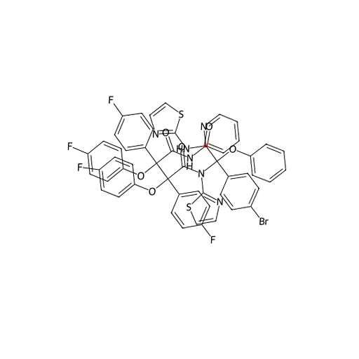 O=C(Nc1nccs1)C(Oc1ccccc1)(c1ccc(Br)cc1)N(C(=O)C(Oc1ccc(F)cc1)(c1ccc(F)cc1)C(Oc1ccc(F)cc1)(C(=O)Nc1ccccn1)c1ccc(F)cc1)c1nccs1